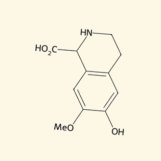 COc1cc2c(cc1O)CCNC2C(=O)O